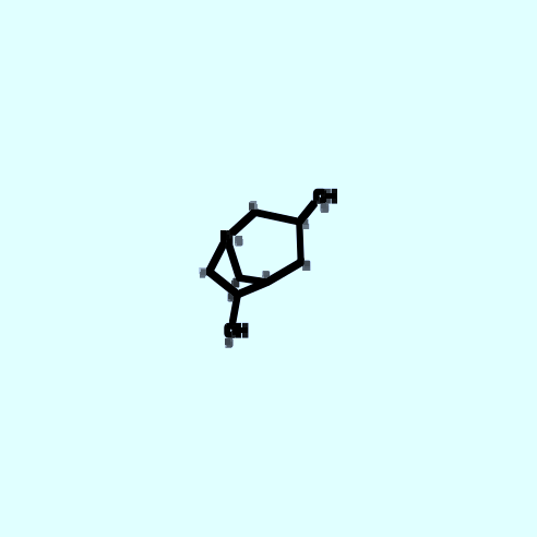 OC1CC2CN(C1)CC2O